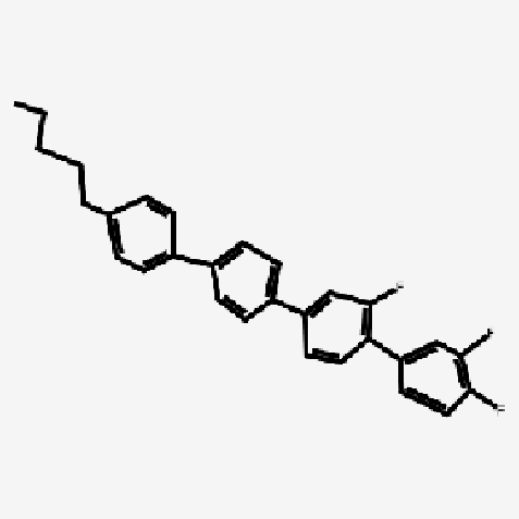 CCCCCc1ccc(-c2ccc(-c3ccc(-c4ccc(F)c(F)c4)c(F)c3)cc2)cc1